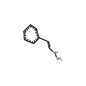 [SiH3]BC=Cc1ccccc1